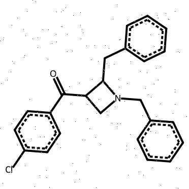 O=C(c1ccc(Cl)cc1)C1CN(Cc2ccccc2)C1Cc1ccccc1